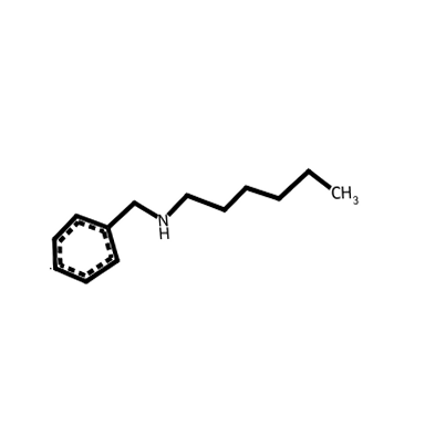 CCCCCCNCc1cc[c]cc1